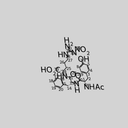 CC(=O)N[C@@H](Cc1ccc(O)cc1)C(=O)N[C@H](Cc1ccccc1)C(=O)N[C@@H](CCCNC(N)=N[N+](=O)[O-])C(=O)O